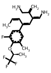 C=C(CN)C(=C\N)/C=C(\C=C/C)c1cc(C)c(O[C@@H](C)C(F)(F)F)c(F)c1